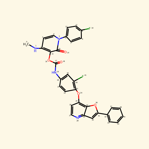 CNc1ccn(-c2ccc(F)cc2)c(=O)c1OC(=O)Nc1ccc(Oc2ccnc3cc(-c4ccccc4)oc23)c(F)c1